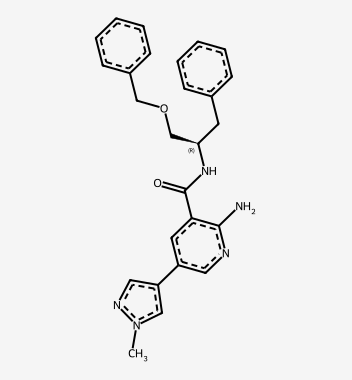 Cn1cc(-c2cnc(N)c(C(=O)N[C@@H](COCc3ccccc3)Cc3ccccc3)c2)cn1